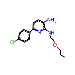 CCCOCCNc1nc(-c2ccc(Cl)cc2)ccc1N